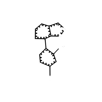 COc1cc(F)ccc1-c1cccc2cn[nH]c12